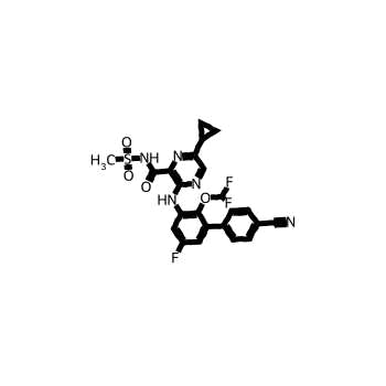 CS(=O)(=O)NC(=O)c1nc(C2CC2)cnc1Nc1cc(F)cc(-c2ccc(C#N)cc2)c1OC(F)F